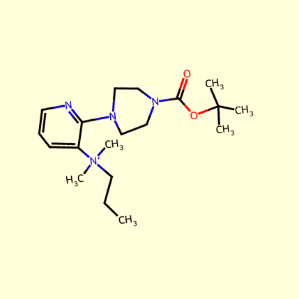 CCC[N+](C)(C)c1cccnc1N1CCN(C(=O)OC(C)(C)C)CC1